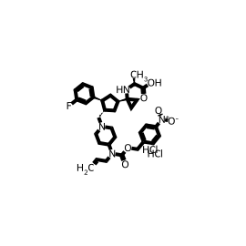 C=CCN(C(=O)OCc1ccc([N+](=O)[O-])cc1)C1CCN(C[C@H]2C[C@H](C3(N[C@@H](C)C(=O)O)CC3)C[C@@H]2c2cccc(F)c2)CC1.Cl.Cl